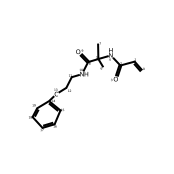 C=CC(=O)NC(C)(C)C(=O)NCCCc1ccccc1